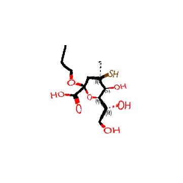 CCCOC1(C(=O)O)C[C@@](C)(S)[C@@H](O)[C@@H]([C@H](O)CO)O1